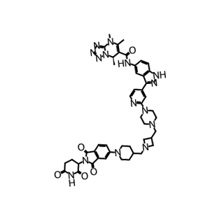 CC1=C(C(=O)Nc2ccc3[nH]nc(-c4ccnc(N5CCN(CC6CN(CC7CCN(c8ccc9c(c8)C(=O)N(C8CCC(=O)NC8=O)C9=O)CC7)C6)CC5)c4)c3c2)[C@@H](C)n2nnnc2N1C